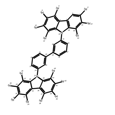 [2H]c1cc2c3c([2H])c([2H])c([2H])c([2H])c3n(-c3cccc(-c4cccc(-n5c6c([2H])c([2H])c([2H])c([2H])c6c6c([2H])c([2H])c([2H])c([2H])c65)c4)c3)c2c([2H])c1[2H]